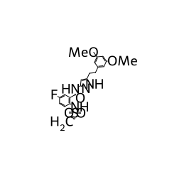 C=CS(=O)(=O)Nc1ccc(F)cc1C(=O)Nc1cc(CCc2cc(OC)cc(OC)c2)[nH]n1